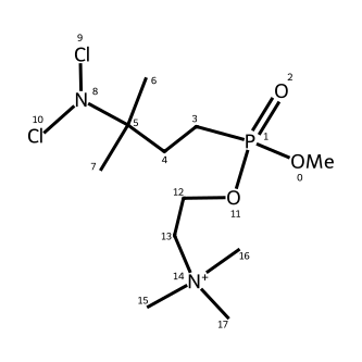 COP(=O)(CCC(C)(C)N(Cl)Cl)OCC[N+](C)(C)C